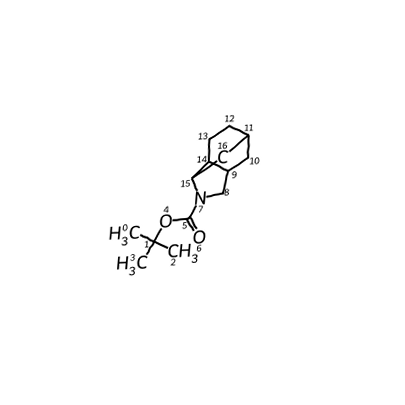 CC(C)(C)OC(=O)N1CC2CC3CCC2C1C3